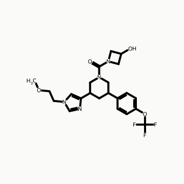 COCCn1cnc(C2CC(c3ccc(OC(F)(F)F)cc3)CN(C(=O)N3CC(O)C3)C2)c1